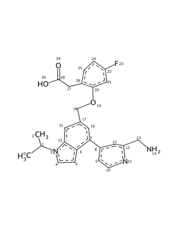 CC(C)n1ccc2c(-c3ccnc(CN)c3)cc(COc3cc(F)ccc3CC(=O)O)cc21